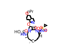 CCCOc1ccc2c(O[C@@H]3C[C@H]4C(=O)N[C@]5(C(=O)NS(=O)(=O)C6CC6)C[C@H]5/C=C\CC[C@H](C)C[C@@H](C)[C@H](NC(=O)O)C(=O)N4C3)nccc2c1